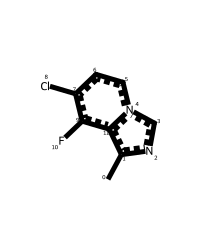 Cc1ncn2ccc(Cl)c(F)c12